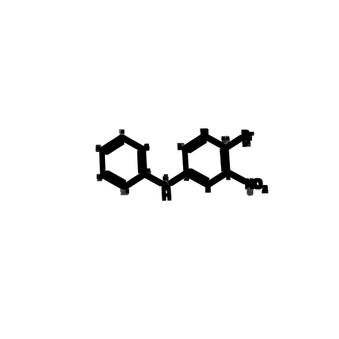 O=[N+]([O-])c1cc(Nc2ccccc2)ccc1Br